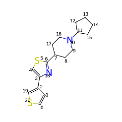 c1cc(-c2csc(C3CCN(C4CCCC4)CC3)n2)cs1